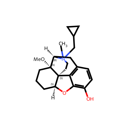 CO[C@@]12CCC[C@@H]3Oc4c(O)ccc5c4[C@@]31CC[N+](C)(CC1CC1)[C@@H]2C5